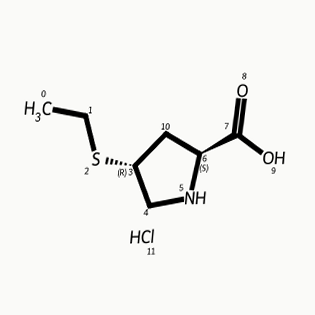 CCS[C@H]1CN[C@H](C(=O)O)C1.Cl